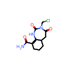 NC(=O)C1=C2NC(=O)N(CCl)C(=O)CC2CCC1